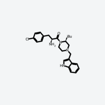 CCC(C)[C@H]1CN(Cc2c[nH]c3ccccc23)CCN1C(=O)[C@@H](N)Cc1ccc(Cl)cc1